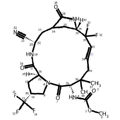 COC(=O)N[C@@H]1C(=O)N2C[C@H](C(F)(F)F)C[C@H]2C(=O)N[C@H](C#N)CC2C[C@H](NC2=O)C(F)(F)/C=C/CC1(C)C